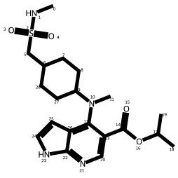 CNS(=O)(=O)CC1CCC(N(C)c2c(C(=O)OC(C)C)cnc3[nH]ccc23)CC1